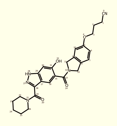 N#CCCCOc1ccc2c(c1)CN(C(=O)c1cc3c(C(=O)N4CCCCC4)n[nH]c3cc1O)C2